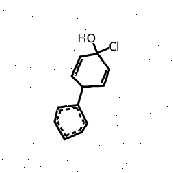 OC1(Cl)C=CC(c2ccccc2)C=C1